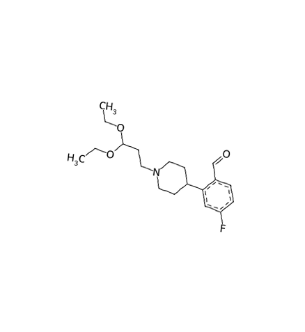 CCOC(CCN1CCC(c2cc(F)ccc2C=O)CC1)OCC